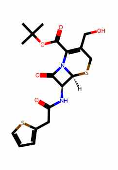 CC(C)(C)OC(=O)C1=C(CO)CS[C@H]2[C@@H](NC(=O)Cc3cccs3)C(=O)N12